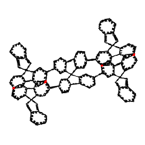 C1=c2ccccc2=CC12c1ccccc1-c1ccc(-c3ccc4c(c3)C3(c5cc(-c6ccc7c(c6)C6(C=c8ccccc8=C6)c6ccccc6-7)ccc5-4)c4cc(-c5ccc6c(c5)C5(C=c7ccccc7=C5)c5ccccc5-6)ccc4-c4ccc(-c5ccc6c(c5)C5(C=c7ccccc7=C5)c5ccccc5-6)cc43)cc12